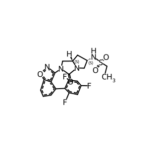 CCS(=O)(=O)N[C@H]1C[C@H]2CN(c3noc4cccc(-c5c(F)cc(F)cc5F)c34)C(=O)N2C1